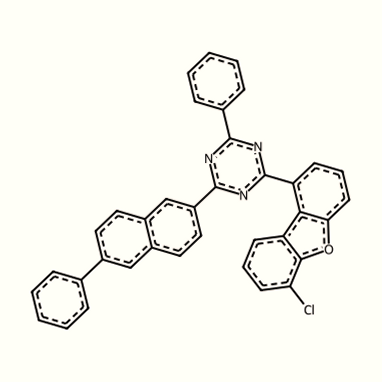 Clc1cccc2c1oc1cccc(-c3nc(-c4ccccc4)nc(-c4ccc5cc(-c6ccccc6)ccc5c4)n3)c12